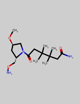 CO[C@@H]1C[C@@H](CON)N(C(=O)CC(C)(C)C(C)(C)CC(N)=O)C1